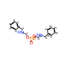 O=[PH](OCNCc1ccccc1)OCNCc1ccccc1